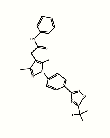 Cc1nn(-c2ccc(-c3noc(C(F)(F)F)n3)cc2)c(C)c1CC(=O)Nc1ccccc1